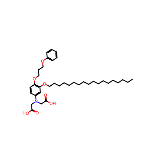 CCCCCCCCCCCCCCCCCCOc1cc(N(CC(=O)O)CC(=O)O)ccc1OCCCOc1ccccc1